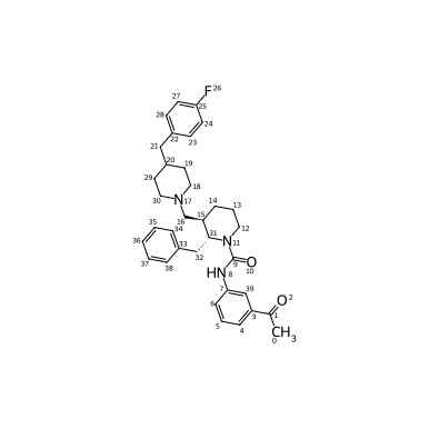 CC(=O)c1cccc(NC(=O)N2CCC[C@H](CN3CCC(Cc4ccc(F)cc4)CC3)[C@H]2Cc2ccccc2)c1